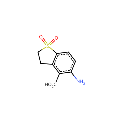 Nc1ccc2c(c1C(=O)O)CCS2(=O)=O